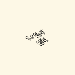 Cc1cccc(C)c1Nc1cccc2ccc(-c3cc(C(C)(C)C)cc(C(C)(C)C)c3[O-])nc12.Cc1cccc(C)c1Nc1cccc2ccc(-c3cc(C(C)(C)C)cc(C(C)(C)C)c3[O-])nc12.c1ccc([CH2][Hf+2][CH2]c2ccccc2)cc1